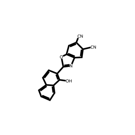 N#Cc1cc2nc(-c3ccc4ccccc4c3O)oc2cc1C#N